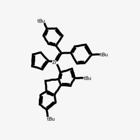 CC(C)(C)c1ccc([C](c2ccc(C(C)(C)C)cc2)=[Zr]([C]2=CC=CC2)[c]2cc(C(C)(C)C)cc3c2Cc2ccc(C(C)(C)C)cc2-3)cc1